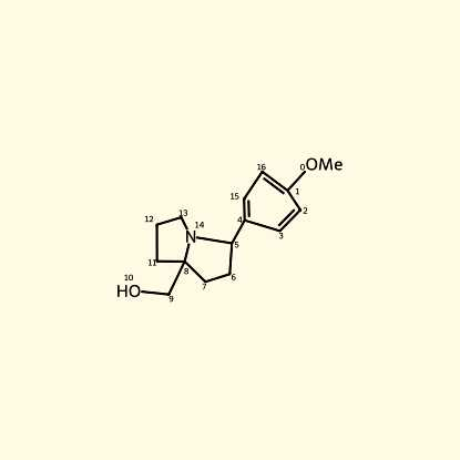 COc1ccc(C2CCC3(CO)CCCN23)cc1